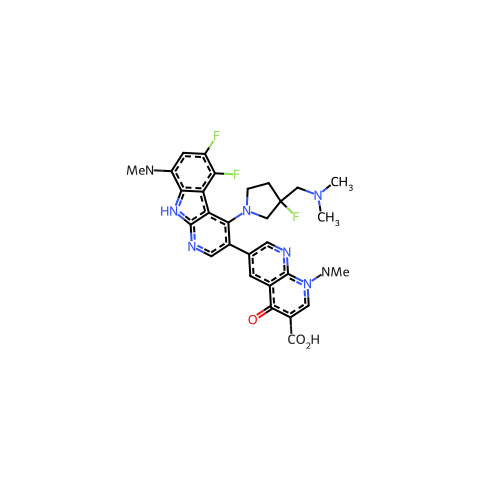 CNc1cc(F)c(F)c2c1[nH]c1ncc(-c3cnc4c(c3)c(=O)c(C(=O)O)cn4NC)c(N3CCC(F)(CN(C)C)C3)c12